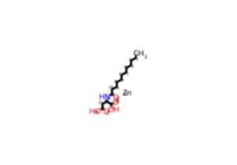 CCCCCCCCCCCC(=O)NC(CC(=O)O)C(=O)O.[Zn]